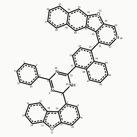 c1ccc(C2=NC(c3cccc4oc5ccccc5c34)NC(c3ccc(-c4cncc5oc6cc7ccccc7cc6c45)c4ccccc34)=N2)cc1